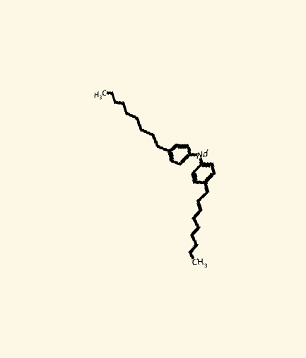 CCCCCCCCCc1cc[c]([Nd][c]2ccc(CCCCCCCCC)cc2)cc1